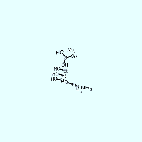 CCO.CCO.CCO.CCO.N.N.N.OB(O)O